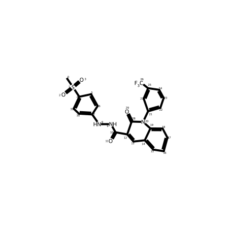 CS(=O)(=O)c1ccc(NNC(=O)c2cc3ccccc3n(-c3cccc(C(F)(F)F)c3)c2=O)cc1